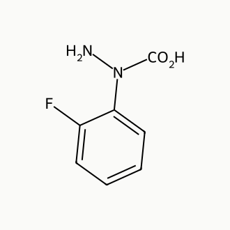 NN(C(=O)O)c1ccccc1F